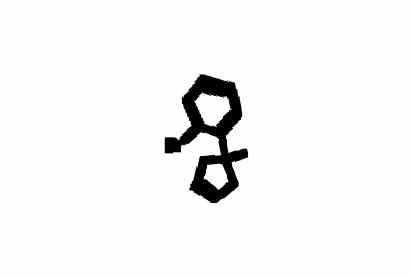 CC1(c2ccccc2Br)CC=CC1